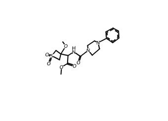 COC(=O)C(NC(=O)N1CCN(c2ccccc2)CC1)C1(OC)CS(=O)(=O)C1